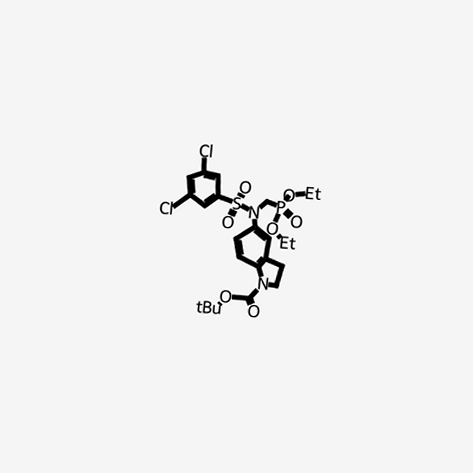 CCOP(=O)(CN(c1ccc2c(c1)CCN2C(=O)OC(C)(C)C)S(=O)(=O)c1cc(Cl)cc(Cl)c1)OCC